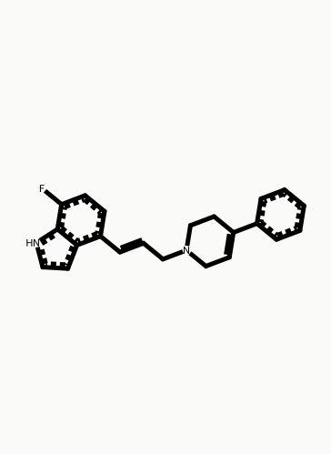 Fc1ccc(C=CCN2CC=C(c3ccccc3)CC2)c2cc[nH]c12